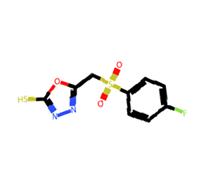 O=S(=O)(Cc1nnc(S)o1)c1ccc(F)cc1